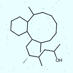 CC(O)CC(C)[C@H](C)CC1C(C)CCCCCC(C)C2CCCCC21